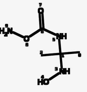 CC(C)(NO)NC(=O)ON